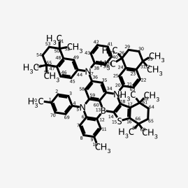 Cc1ccc(N2c3ccc(C)cc3B3c4sc5c(c4N(c4ccc6c(c4)C(C)(C)CCC6(C)C)c4cc(N(c6ccccc6)c6ccc7c(c6)C(C)(C)CCC7(C)C)cc2c43)C(C)(C)CCC5(C)C)cc1